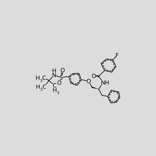 CC(C)(C)NS(=O)(=O)c1ccc(OC[C@H](Cc2ccccc2)NC(=O)c2ccc(F)cc2)cc1